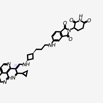 N=C(/C(=C\N[C@H]1C[C@H](CCCNc2ccc3c(c2)C(=O)N(C2CCC(=O)NC2=O)C3=O)C1)c1nccc2ccncc12)C1CC1